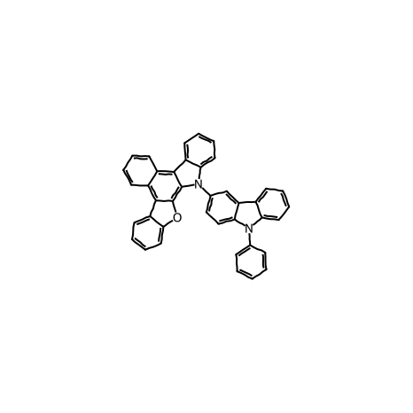 c1ccc(-n2c3ccccc3c3cc(-n4c5ccccc5c5c6ccccc6c6c7ccccc7oc6c54)ccc32)cc1